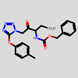 Cc1ccc(Oc2nnnn2CC(=O)C(CC(=O)O)NC(=O)OCc2ccccc2)cc1